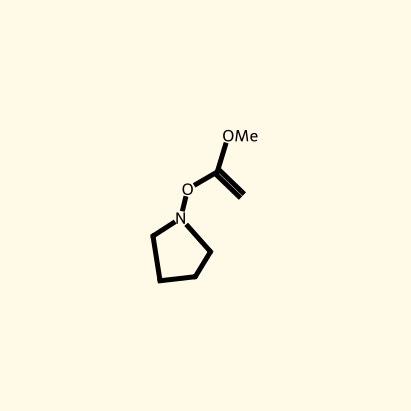 C=C(OC)ON1CCCC1